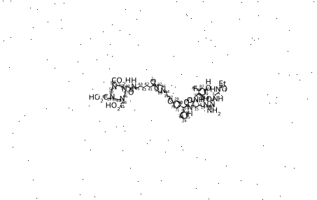 CCC(=O)NCCNC(=O)/N=C(/N)NCCC[C@@H](NC(=O)C(c1ccccc1)c1ccc(OCCCN2CCN(C(=O)CCCCCNC(=O)CN3CCN(CC(=O)O)CCN(CC(=O)O)CCN(CC(=O)O)CC3)CC2)cc1)C(=O)NCc1c(F)cc(O)cc1F